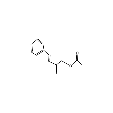 CC(=O)OCC(C)C=Cc1ccccc1